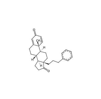 C[C@]12C=CC(=O)C=C1CC[C@H]1[C@@H]3CCC(=O)[C@@]3(CCCc3ccccc3)CC[C@@H]12